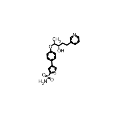 C[C@H](Oc1ccc(-c2csc(S(N)(=O)=O)c2)cc1)[C@H](O)CCc1cccnc1